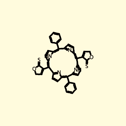 S=C1OCC=C1c1c2nc(c(-c3ccccc3)c3ccc([nH]3)c(C3=CCOC3=S)c3nc(c(-c4ccccc4)c4ccc1[nH]4)C=C3)C=C2